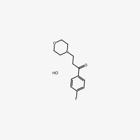 Cl.O=C(CCN1CCOCC1)c1ccc(F)cc1